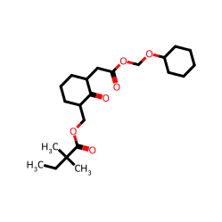 CCC(C)(C)C(=O)OCC1CCCC(CC(=O)OCOC2CCCCC2)C1=O